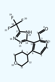 O=Cc1nccc(C2CCOCC2)c1-c1nnc(C(F)(F)F)[nH]1